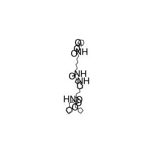 O=C(CCCCCCNC(=O)c1cc2cc(CCC(=O)NC(Cc3ccccc3)C(=O)OC3CCCC3)ccc2[nH]1)NO[C@H]1CCCCO1